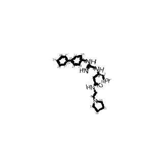 CC(C)C[C@@H](CC(=O)NCCN1CCCC1)NC(=N)Nc1ccc(-c2ccccc2)cc1